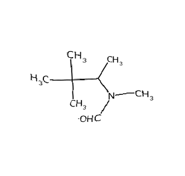 CC(N(C)[C]=O)C(C)(C)C